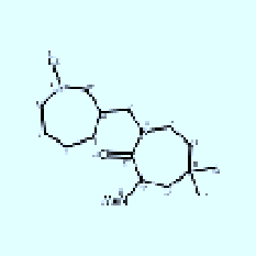 CCN1CCCCC(CN2CCC(C)(C)CC(NC)C2=O)C1